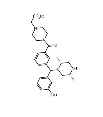 CCOC(=O)CN1CCN(C(=O)c2cccc(C(c3cccc(O)c3)N3C[C@@H](C)NC[C@H]3C)c2)CC1